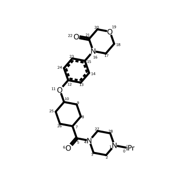 CC(C)N1CCN(C(=O)C2CCC(Oc3ccc(N4CCOCC4=O)cc3)CC2)CC1